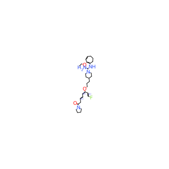 CCOC1=C(NC(N)N2CCC(CCCOC(/C=C/F)=C/C=C/CC(=O)N3CCCC3)CC2)CCCC=C1